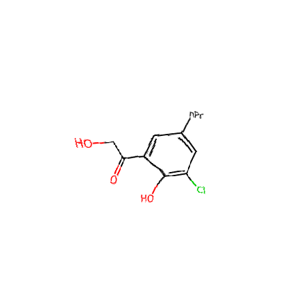 CCCc1cc(Cl)c(O)c(C(=O)CO)c1